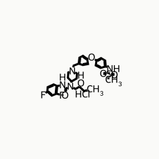 CCC(O)CN(C(=O)Nc1ccc(F)cc1F)C1CCN(Cc2ccc(Oc3ccc(NS(C)(=O)=O)cc3)cc2)CC1.Cl